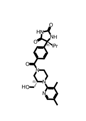 Cc1cnc(N2CCN(C(=O)c3ccc([C@@]4(C(C)C)NC(=O)NC4=O)cc3)C[C@H]2CO)c(C)c1